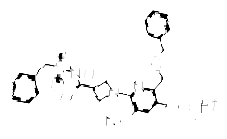 CCOC(=O)c1cc(C#N)c(N2CC(C(=O)NS(=O)(=O)Cc3ccccc3)C2)nc1COCc1ccccc1